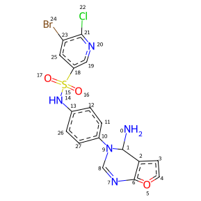 NC1c2ccoc2N=CN1c1ccc(NS(=O)(=O)c2cnc(Cl)c(Br)c2)cc1